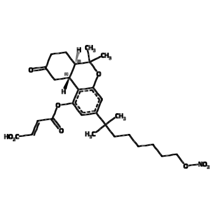 CC(C)(CCCCCCO[N+](=O)[O-])c1cc(OC(=O)C=CC(=O)O)c2c(c1)OC(C)(C)[C@@H]1CCC(=O)C[C@@H]21